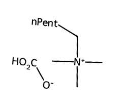 CCCCCC[N+](C)(C)C.O=C([O-])O